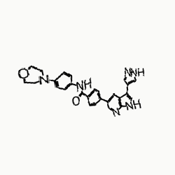 O=C(Nc1ccc(N2CCOCC2)cc1)c1ccc(-c2cnc3[nH]cc(-c4cn[nH]c4)c3c2)cc1